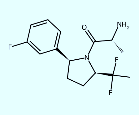 C[C@@H](N)C(=O)N1[C@H](c2cccc(F)c2)CC[C@@H]1C(C)(F)F